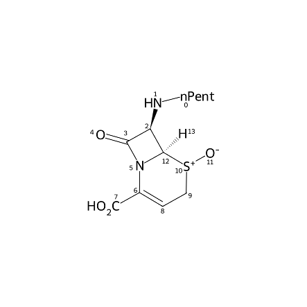 CCCCCN[C@@H]1C(=O)N2C(C(=O)O)=CC[S+]([O-])[C@H]12